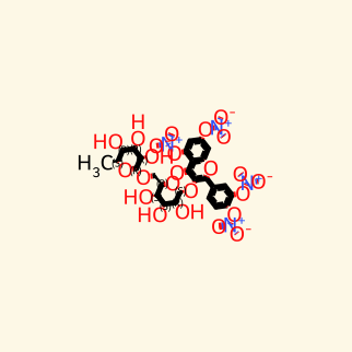 C[C@@H]1O[C@@H](OC[C@H]2O[C@@H](Oc3c(-c4ccc(O[N+](=O)[O-])c(O[N+](=O)[O-])c4)oc4cc(O[N+](=O)[O-])cc(O[N+](=O)[O-])c4c3=O)[C@H](O)[C@@H](O)[C@@H]2O)[C@H](O)[C@H](O)[C@H]1O